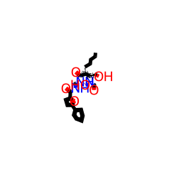 CCCCC[C@@H](C(=O)NCNC(=O)c1ccc(-c2ccccc2)o1)[C@@H](CO)N(O)C=O